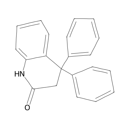 O=C1CC(c2ccccc2)(c2ccccc2)c2ccccc2N1